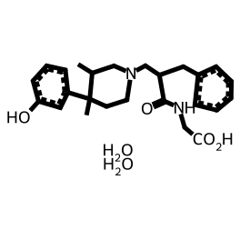 CC1CN(CC(Cc2ccccc2)C(=O)NCC(=O)O)CCC1(C)c1cccc(O)c1.O.O